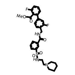 COC(=O)c1c(F)cccc1-c1ccc(CNC(=O)c2cccc(S(=O)(=O)NCCN3CCCCC3)c2)c(F)c1